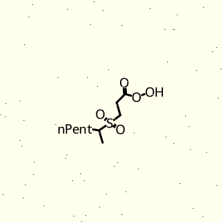 CCCCCC(C)S(=O)(=O)CCC(=O)OO